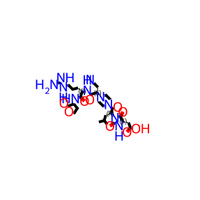 CC(C)C[C@H](C(=O)N1CCN([C@@H](CC#N)C(=O)N[C@@H](CCCNC(=N)N)C(=O)NC2CCOC2=O)CC1)N1C(=O)N[C@@H](CC(=O)O)C1=O